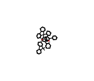 CC1(C)c2ccccc2-c2ccc(N(c3ccc(-c4ccccc4)cc3)c3cccc4c3C3(c5ccccc5-4)c4ccccc4-c4c3ccc3c4sc4ccccc43)cc21